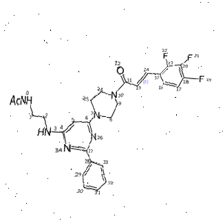 CC(=O)NCCNc1cc(N2CCN(C(=O)/C=C/c3ccc(F)c(F)c3F)CC2)nc(-c2ccccc2)n1